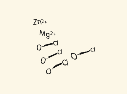 [Mg+2].[O-]Cl.[O-]Cl.[O-]Cl.[O-]Cl.[Zn+2]